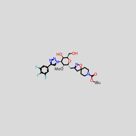 CO[C@@H]1[C@@H](n2cc(-c3cc(F)c(F)c(F)c3)nn2)[C@@H](O)[C@@H](CO)O[C@@H]1CC1=NOC2(CCN(C(=O)OC(C)(C)C)CC2)C1